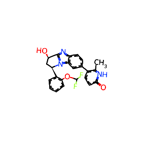 Cc1[nH]c(=O)ccc1-c1ccc2nc3n(c2c1)[C@@H](c1ccccc1OC(F)F)C[C@H]3O